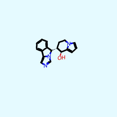 O[C@@H]1c2cccn2CC[C@H]1C1c2ccccc2-c2cncn21